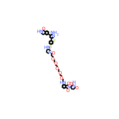 Nc1ncc(-c2ccc(SNC3CCCN(C(=O)CCOCCOCCOCCOCCOCCNc4cccc5c4C(=O)N(C4CCC(=O)NC4=O)C5=O)C3)cc2F)cc1-c1ccc2c(c1)CCNC2=O